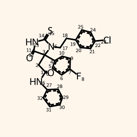 O=C(CC1(c2ccc(F)cc2)C(=O)NC(=S)N1CCc1ccc(Cl)cc1)Nc1ccccc1